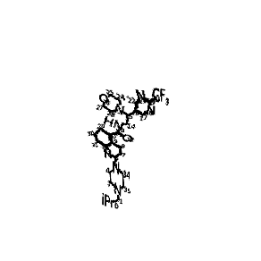 CC(C)CN1CCN(c2ccc3c(C(=O)NCC(c4cnc(C(F)(F)F)nc4)N4CCOCC4)cccc3n2)CC1